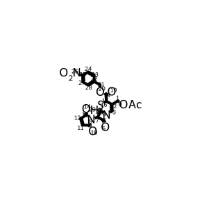 CC(=O)OCC1=CN2C(=O)C(N3C(=O)C=CC3=O)[C@H]2SC1C(=O)OCc1ccc([N+](=O)[O-])cc1